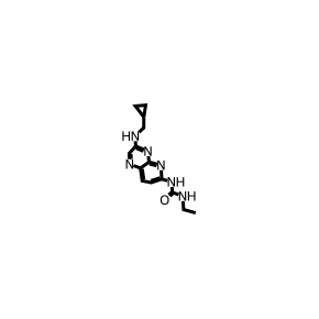 CCNC(=O)Nc1ccc2ncc(NCC3CC3)nc2n1